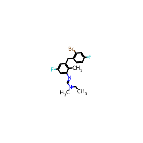 CCN(C)C=Nc1cc(F)cc(Cc2ccc(F)cc2Br)c1C